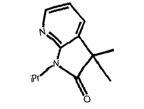 CC(C)N1C(=O)C(C)(C)c2cccnc21